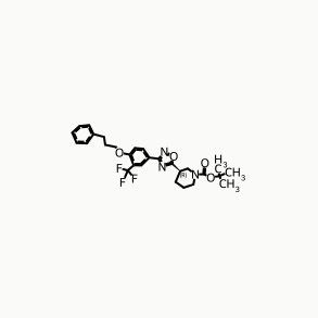 CC(C)(C)OC(=O)N1CCC[C@@H](c2nc(-c3ccc(OCCCc4ccccc4)c(C(F)(F)F)c3)no2)C1